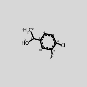 [CH2]C(O)c1ccc(Cl)c(F)c1